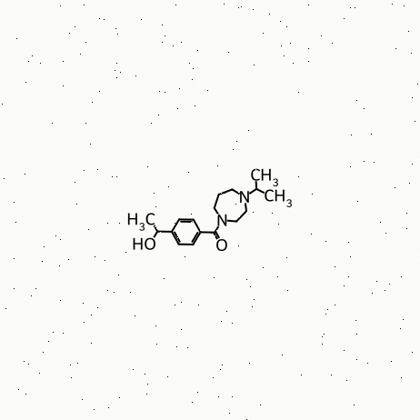 CC(O)c1ccc(C(=O)N2CCCN(C(C)C)CC2)cc1